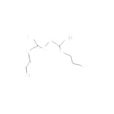 CCCOC(C)SSC(C)OCCC